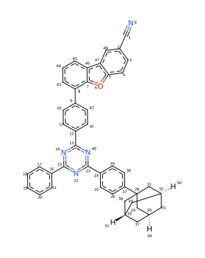 N#Cc1ccc2oc3c(-c4ccc(-c5nc(-c6ccccc6)nc(-c6ccc(C78C[C@H]9C[C@H](C7)C[C@@H](C8)C9)cc6)n5)cc4)cccc3c2c1